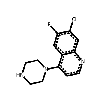 Fc1cc2c(N3CCNCC3)ccnc2cc1Cl